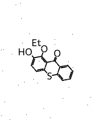 CCOc1c(O)ccc2sc3ccccc3c(=O)c12